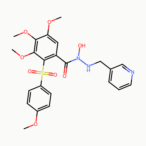 COc1ccc(S(=O)(=O)c2c(C(=O)N(O)NCc3cccnc3)cc(OC)c(OC)c2OC)cc1